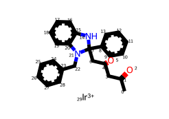 CC(=O)CC(=O)CC1(c2ccccc2)Nc2ccccc2N1Cc1ccccc1.[Ir+3]